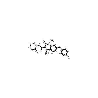 Cn1c(=O)c(C(=O)NC2CCCCC2O)c(O)c2ncc(Cc3ccc(F)cc3)cc21